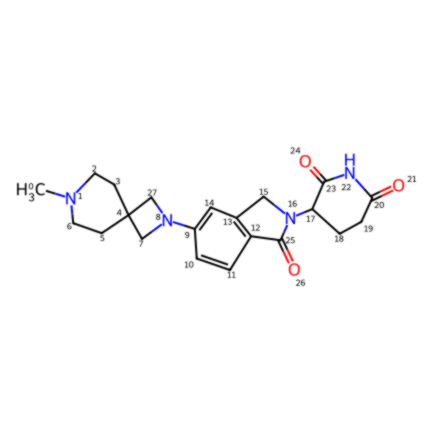 CN1CCC2(CC1)CN(c1ccc3c(c1)CN(C1CCC(=O)NC1=O)C3=O)C2